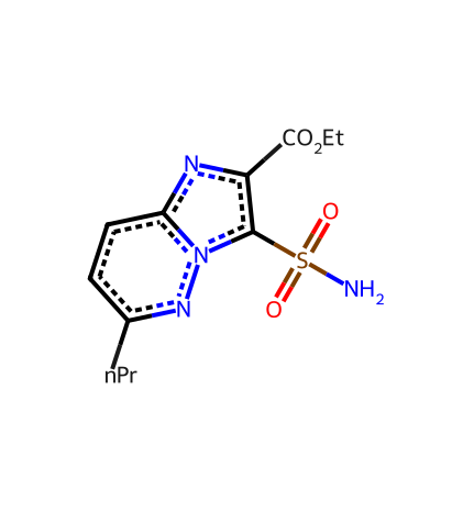 CCCc1ccc2nc(C(=O)OCC)c(S(N)(=O)=O)n2n1